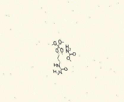 COC(N)=O.COC(OC)(OC)OCCCNC(N)=O